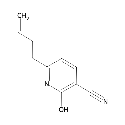 C=CCCc1ccc(C#N)c(O)n1